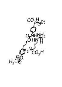 CCOC(Cc1ccc(NC(=O)OCCCc2ccc(OS(C)(=O)=O)cc2)cc1)C(=O)O.N=C(N)NCCC[C@H](N)C(=O)O